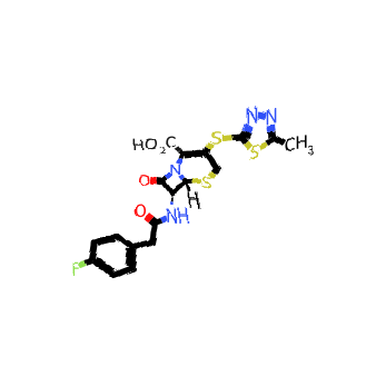 Cc1nnc(SC2=C(C(=O)O)N3C(=O)[C@@H](NC(=O)Cc4ccc(F)cc4)[C@H]3SC2)s1